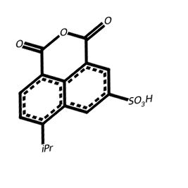 CC(C)c1ccc2c3c(cc(S(=O)(=O)O)cc13)C(=O)OC2=O